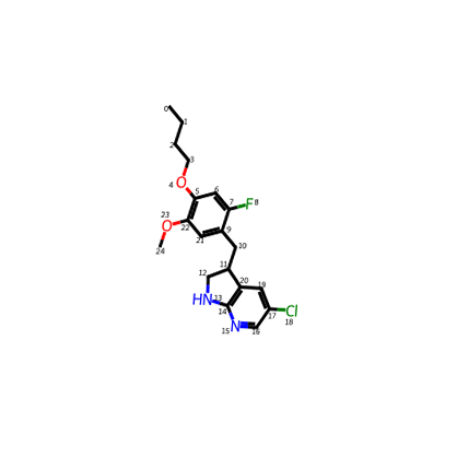 CCCCOc1cc(F)c(CC2CNc3ncc(Cl)cc32)cc1OC